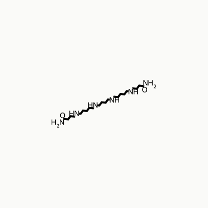 NC(=O)CCCNCCCCCNCCCCNCCCCCNCCCC(N)=O